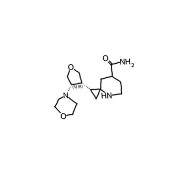 NC(=O)C1CCNC2(C1)CC2[C@H]1COC[C@H]1N1CCOCC1